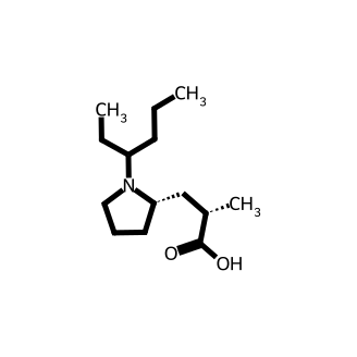 CCCC(CC)N1CCC[C@H]1C[C@H](C)C(=O)O